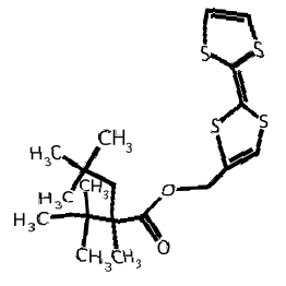 CC(C)(C)CC(C)(C(=O)OCC1=CSC(=C2SC=CS2)S1)C(C)(C)C